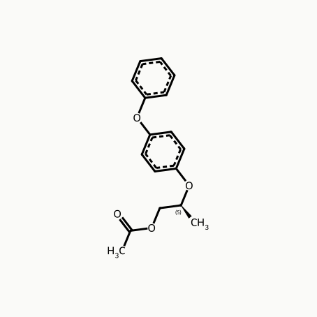 CC(=O)OC[C@H](C)Oc1ccc(Oc2ccccc2)cc1